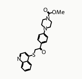 COC(=O)N1CCN(c2ccc(C(=O)CSc3ccnc4ccccc34)cc2)CC1